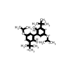 CC(C)Oc1cc(-c2cc(OC(C)C)cc(C(C)(C)C)c2O)c(O)c(C(C)(C)C)c1